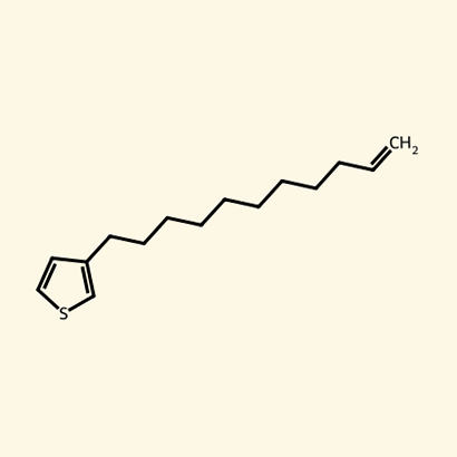 C=CCCCCCCCCCc1ccsc1